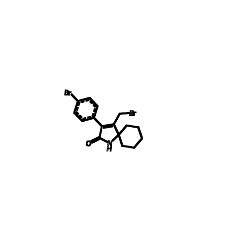 O=C1NC2(CCCCC2)C(CBr)=C1c1ccc(Br)cc1